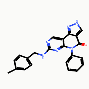 Cc1ccc(CNc2ncc3c4n[nH]cc4c(=O)n(-c4ccccc4)c3n2)cc1